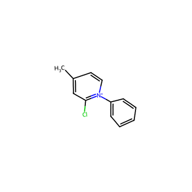 Cc1cc[n+](-c2ccccc2)c(Cl)c1